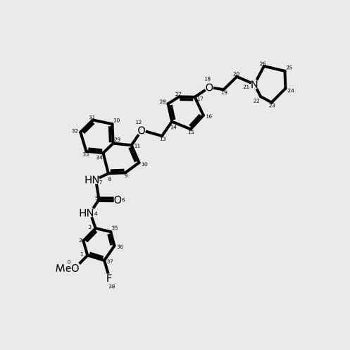 COc1cc(NC(=O)Nc2ccc(OCc3ccc(OCCN4CCCCC4)cc3)c3ccccc23)ccc1F